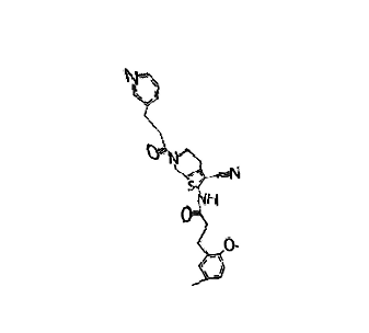 COc1ccc(C)cc1CCC(=O)Nc1sc2c(c1C#N)CCN(C(=O)CCc1cccnc1)C2